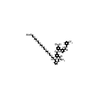 CCN(CC)c1ccc(NC(=O)c2cccc(C(=O)N(C)CCN3CCCC3C(=O)NCCOCCOCCOCCOCCOCCOCCOCCOC)c2)c(-c2cc(C(=O)NCc3cccc(C(F)(F)F)c3)ccn2)c1